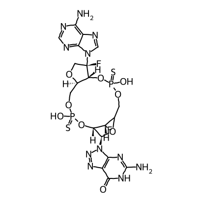 Nc1nc2c(nnn2[C@@H]2OC3COP(O)(=S)O[C@@H]4[C@@H](COP(O)(=S)O[C@@H]2[C@H]3F)OC[C@]4(F)n2cnc3c(N)ncnc32)c(=O)[nH]1